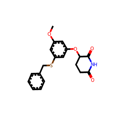 COc1cc(OC2CCC(=O)NC2=O)cc(SCc2ccccc2)c1